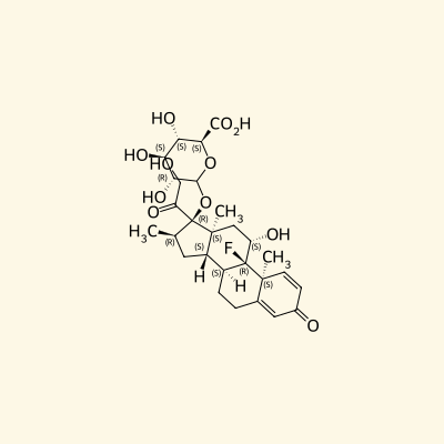 C[C@@H]1C[C@H]2[C@@H]3CCC4=CC(=O)C=C[C@]4(C)[C@@]3(F)[C@@H](O)C[C@]2(C)[C@@]1(OC1O[C@H](C(=O)O)[C@@H](O)[C@H](O)[C@H]1O)C(=O)CO